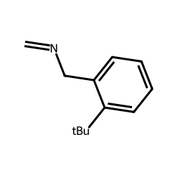 C=NCc1ccccc1C(C)(C)C